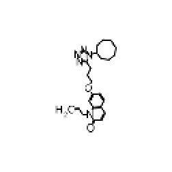 C=CCn1c(=O)ccc2ccc(OCCCc3nnnn3C3CCCCCCC3)cc21